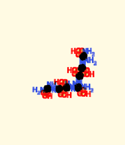 Nc1cc(N)c(S(=O)(=O)O)cc1N=Nc1ccc(-c2ccc(N=Nc3cc(S(=O)(=O)O)c(N)c(N=Nc4ccc(-c5ccc(N=Nc6cc(S(=O)(=O)O)c(N)cc6N)cc5S(=O)(=O)O)c(S(=O)(=O)O)c4)c3N)cc2S(=O)(=O)O)c(S(=O)(=O)O)c1